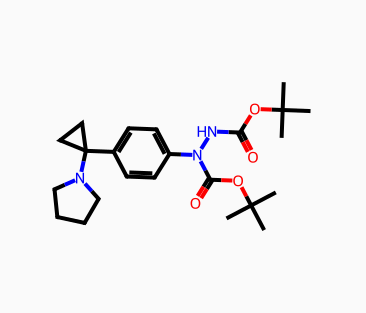 CC(C)(C)OC(=O)NN(C(=O)OC(C)(C)C)c1ccc(C2(N3CCCC3)CC2)cc1